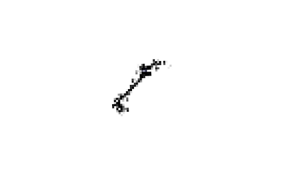 CCNC(=O)C#Cc1ccc2c(c1)NC(=O)/C2=C(\Nc1ccc(CNCCOCCOCCOCCOCC(=O)Nc2cccc3c2CN(C2CCC(=O)NC2=O)C3=O)cc1)c1ccccc1